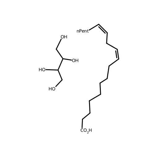 CCCCC/C=C\C/C=C\CCCCCCCC(=O)O.OCC(O)C(O)CO